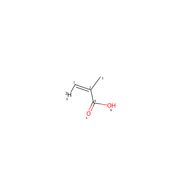 [2H]/C=C(/C)C(=O)O